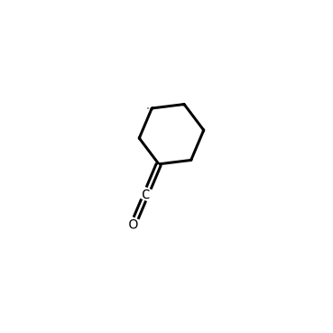 O=C=C1C[CH]CCC1